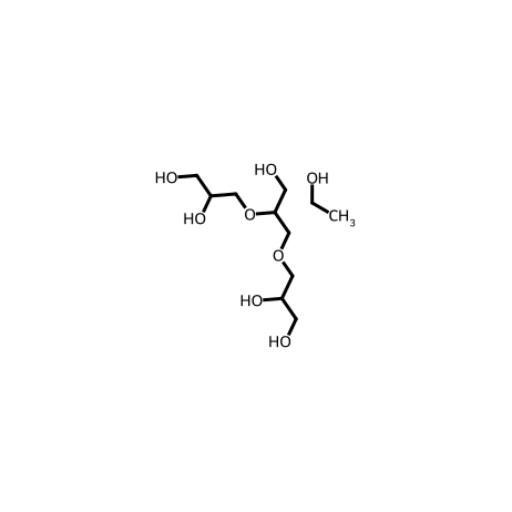 CCO.OCC(O)COCC(CO)OCC(O)CO